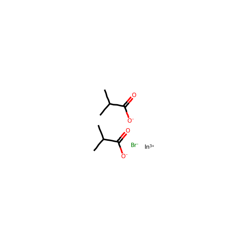 CC(C)C(=O)[O-].CC(C)C(=O)[O-].[Br-].[In+3]